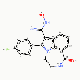 N=C(NO)c1c(-c2ccc(F)cc2)n2c3c(cccc13)C(=O)NCC2